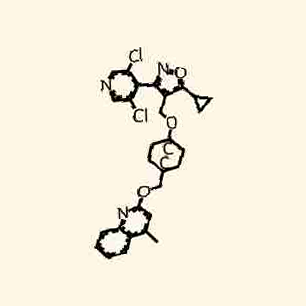 Cc1cc(OCC23CCC(OCc4c(-c5c(Cl)cncc5Cl)noc4C4CC4)(CC2)CC3)nc2ccccc12